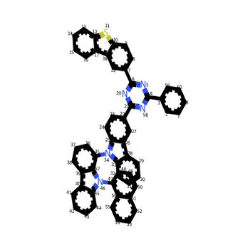 c1ccc(-c2nc(-c3ccc4sc5ccccc5c4c3)nc(-c3ccc4c(c3)c3ccccc3n4-c3cccc4c5ccccc5n(-c5cccc6ccccc56)c34)n2)cc1